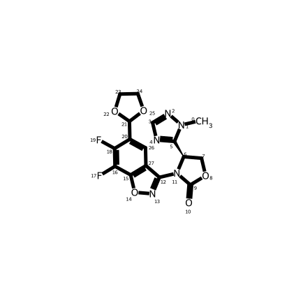 Cn1ncnc1[C@H]1COC(=O)N1c1noc2c(F)c(F)c(C3OCCO3)cc12